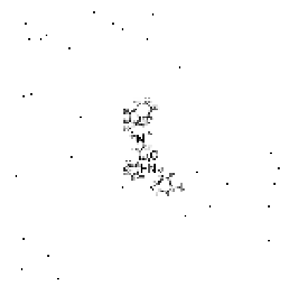 O=C(NCc1cccc(I)c1)[C@@H](CCN1CCC2(C=CC3C=CC=CC32)CC1)c1ccsc1